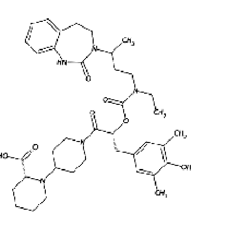 CCN(CCC(C)N1CCc2ccccc2NC1=O)C(=O)O[C@H](Cc1cc(C)c(O)c(C)c1)C(=O)N1CCC(N2CCCC[C@@H]2C(=O)O)CC1